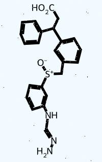 NN=CNc1cccc([S+]([O-])Cc2cccc(C(CC(=O)O)c3ccccc3)c2)c1